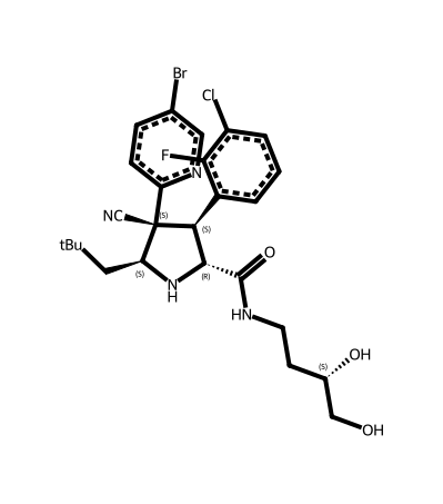 CC(C)(C)C[C@@H]1N[C@@H](C(=O)NCC[C@H](O)CO)[C@H](c2cccc(Cl)c2F)[C@@]1(C#N)c1ccc(Br)cn1